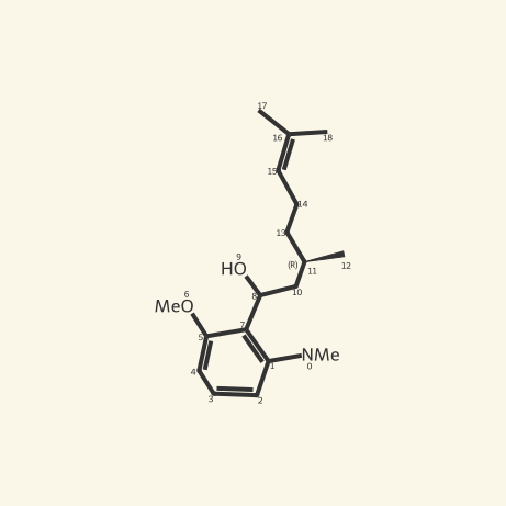 CNc1cccc(OC)c1C(O)C[C@H](C)CCC=C(C)C